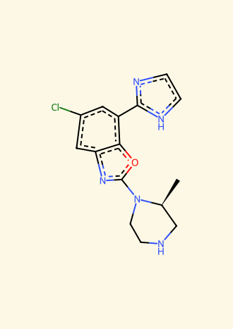 C[C@H]1CNCCN1c1nc2cc(Cl)cc(-c3ncc[nH]3)c2o1